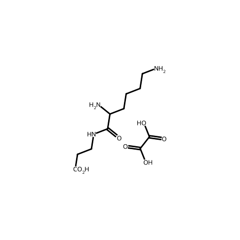 NCCCCC(N)C(=O)NCCC(=O)O.O=C(O)C(=O)O